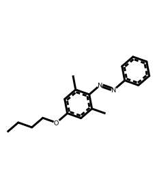 CCCCOc1cc(C)c(/N=N/c2ccccc2)c(C)c1